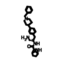 NC[C@H](Cc1ccc(C2CCN(Cc3ccccc3)CC2)cc1)NC(=O)C1NC2CCC1C2